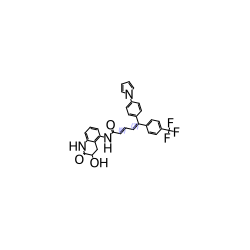 O=C(/C=C/C=C(\c1ccc(-n2cccc2)cc1)c1ccc(C(F)(F)F)cc1)Nc1cccc2c1CC(O)C(=O)N2